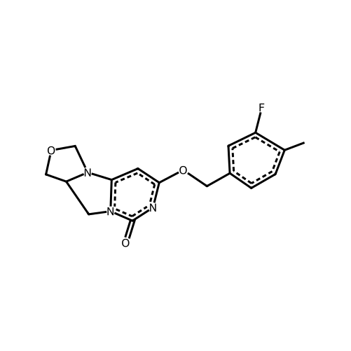 Cc1ccc(COc2cc3n(c(=O)n2)CC2COCN32)cc1F